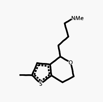 CNCCCC1OCCc2sc(C)cc21